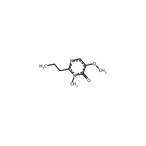 CCCc1ncc(OC)c(=O)n1C